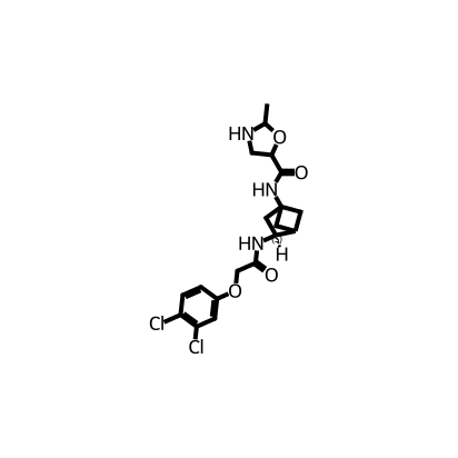 CC1NCC(C(=O)NC23CC(C2)[C@@H](NC(=O)COc2ccc(Cl)c(Cl)c2)C3)O1